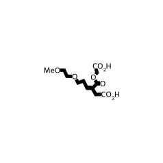 COCCOCCC=C(CC(=O)O)C(=O)OCC(=O)O